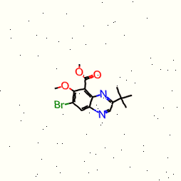 COC(=O)c1c(OC)c(Br)cc2ncc(C(C)(C)C)nc12